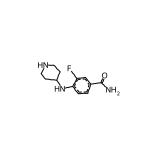 NC(=O)c1ccc(NC2CCNCC2)c(F)c1